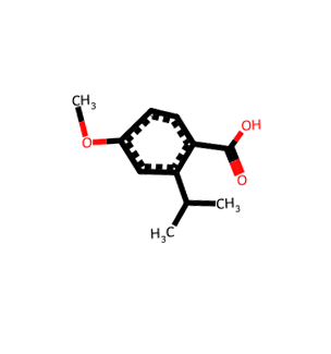 COc1ccc(C(=O)O)c(C(C)C)c1